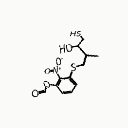 CC(CSc1cccc(OC=O)c1[N+](=O)[O-])C(O)CS